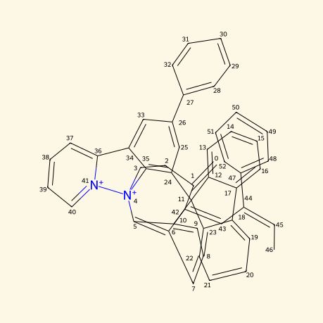 C=C1CC[N+]23c4c(cccc4C4(c5ccccc5-c5ccccc54)c4cc(-c5ccccc5)cc(c42)-c2cccc[n+]23)/C1=C/C(=C\C)c1ccccc1